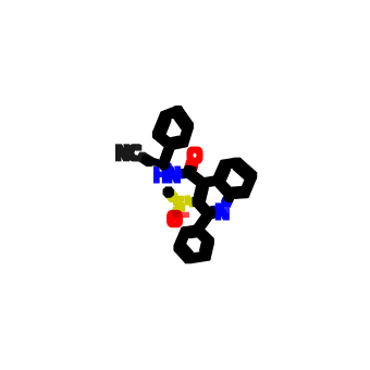 C[S+]([O-])c1c(-c2ccccc2)nc2ccccc2c1C(=O)N[C@@H](CC#N)c1ccccc1